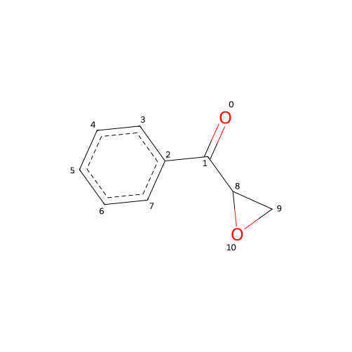 O=C(c1ccccc1)C1CO1